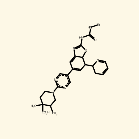 CCNC(=O)NC1=NC2=CC(c3cnc(N4CCC(C)(C(=O)O)C(C)C4)nc3)=CC(C3CC=CC=N3)C2S1